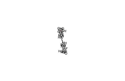 O=[PH](S)O[C@H]1[C@@H](F)[C@H](n2cnc3c(NC/C=C/CNc4ncnc5c4ncn5[C@@H]4OC(CO)[C@@H](O[PH](=O)S)[C@H]4F)ncnc32)O[C@@H]1CO